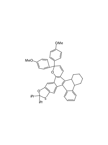 COc1ccc(C2(c3ccc(OC)cc3)C=Cc3c4c(c5cc6c(cc5c3O2)OC(C(C)C)(C(C)C)S6)-c2ccccc2C2CCCCC42)cc1